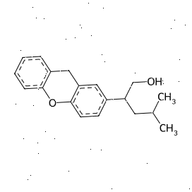 CC(C)CC(CO)c1ccc2c(c1)Cc1ccccc1O2